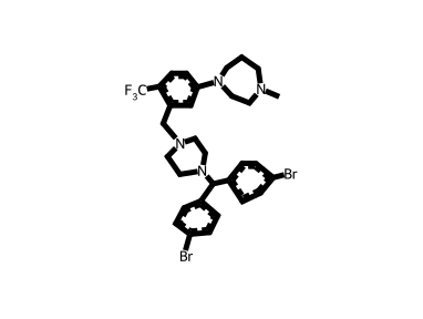 CN1CCCN(c2ccc(C(F)(F)F)c(CN3CCN(C(c4ccc(Br)cc4)c4ccc(Br)cc4)CC3)c2)CC1